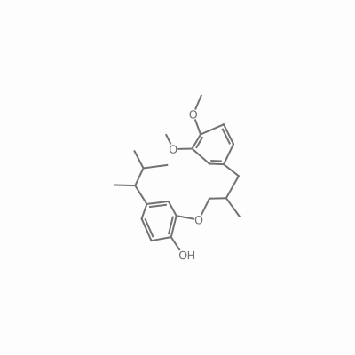 COc1ccc(CC(C)COc2cc(C(C)C(C)C)ccc2O)cc1OC